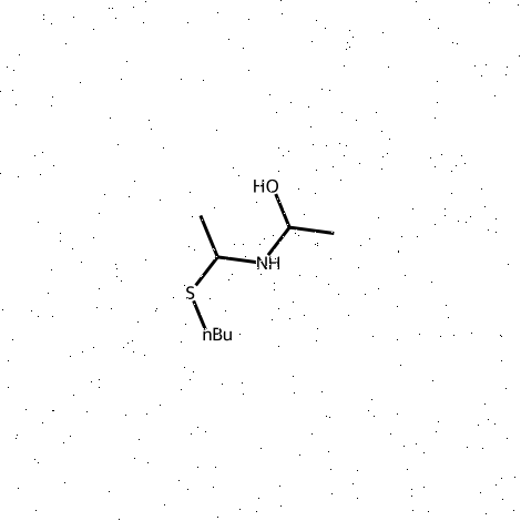 CCCCSC(C)NC(C)O